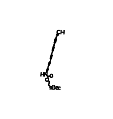 C#CC#CC#CC#CC#CC#CNC(=O)OCCCCCCCCCCCC